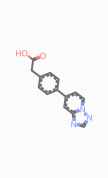 O=C(O)Cc1ccc(-c2ccn3ncnc3c2)cc1